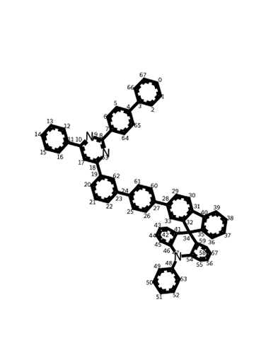 c1ccc(-c2ccc(-c3nc(-c4ccccc4)cc(-c4cccc(-c5ccc(-c6ccc7c(c6)C6(c8ccccc8-7)c7ccccc7N(c7ccccc7)c7ccccc76)cc5)c4)n3)cc2)cc1